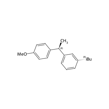 CC[C@@H](C)c1cccc([C@H](C)c2ccc(OC)cc2)c1